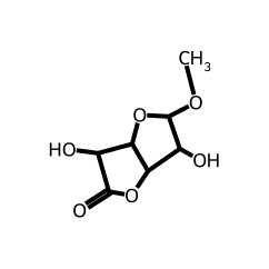 COC1OC2C(O)C(=O)OC2C1O